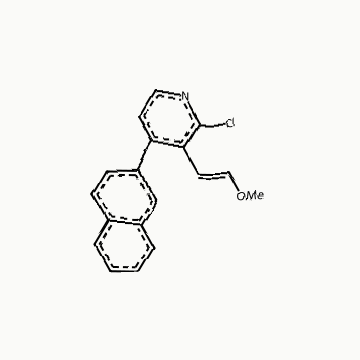 COC=Cc1c(-c2ccc3ccccc3c2)ccnc1Cl